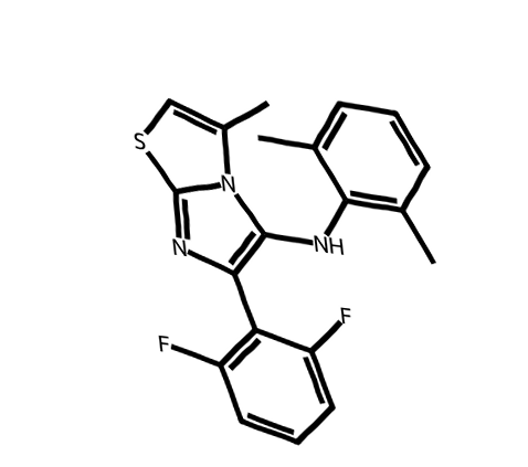 Cc1cccc(C)c1Nc1c(-c2c(F)cccc2F)nc2scc(C)n12